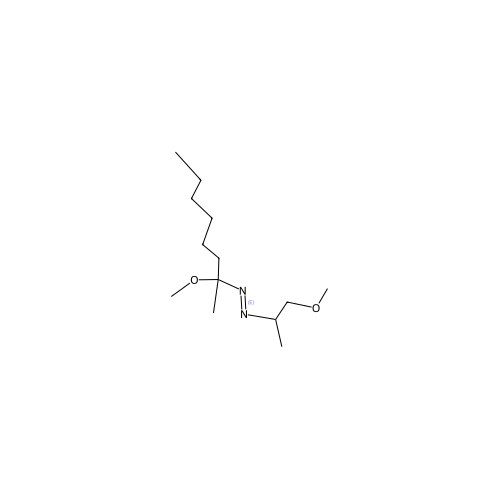 CCCCCCC(C)(/N=N/C(C)COC)OC